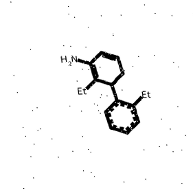 CCC1=C(N)C=CCC1c1ccccc1CC